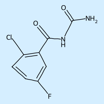 NC(=O)NC(=O)c1cc(F)ccc1Cl